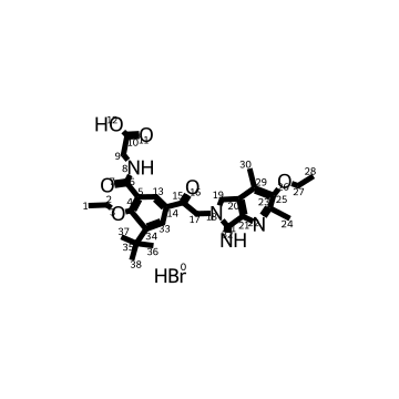 Br.CCOc1c(C(=O)NCC(=O)O)cc(C(=O)CN2Cc3c(nc(C)c(OCC)c3C)C2=N)cc1C(C)(C)C